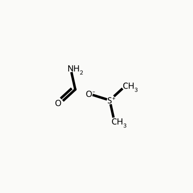 C[S+](C)[O-].NC=O